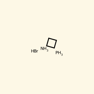 Br.C1CCC1.N.P